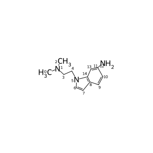 CN(C)CCn1ccc2ccc(N)cc21